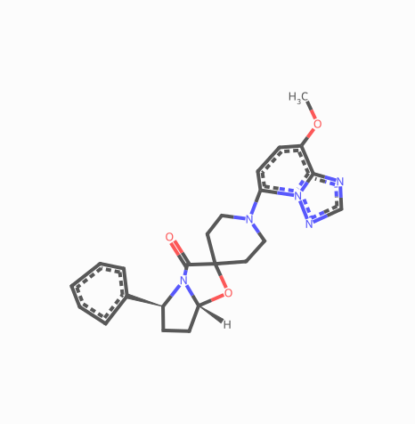 COc1ccc(N2CCC3(CC2)O[C@@H]2CC[C@@H](c4ccccc4)N2C3=O)n2ncnc12